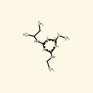 CCNc1nc(NC(C)CC)nc(OC)n1